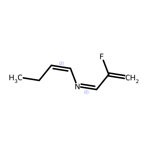 C=C(F)/C=N\C=C/CC